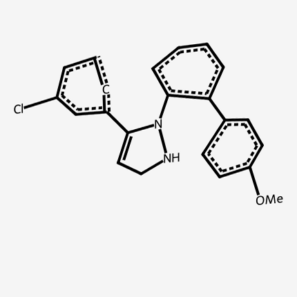 COc1ccc(-c2ccccc2N2NCC=C2c2cccc(Cl)c2)cc1